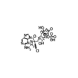 C[C@H](OP(=O)(O)OP(=O)(O)OP(=O)(O)O)[C@H]1O[C@@H](n2cnc3cnc(N)nc32)C(N)(C#CCl)[C@H]1O